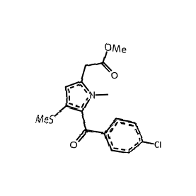 COC(=O)Cc1cc(SC)c(C(=O)c2ccc(Cl)cc2)n1C